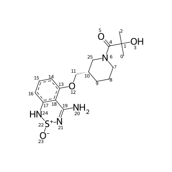 CC(C)(O)C(=O)N1CCC[C@H](COc2cccc3c2C(N)=N[S+]([O-])N3)C1